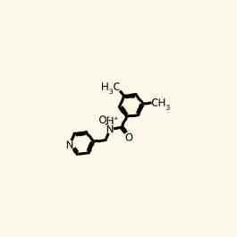 Cc1cc(C)cc(C(=O)[NH+]([O-])Cc2ccncc2)c1